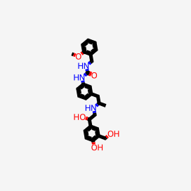 COc1ccccc1CNC(=O)Nc1cccc(CC(C)NCC(O)c2ccc(O)c(CO)c2)c1